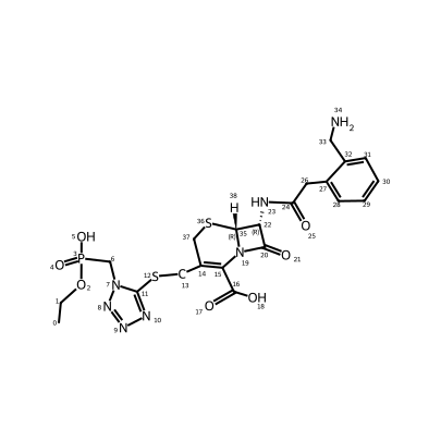 CCOP(=O)(O)Cn1nnnc1SCC1=C(C(=O)O)N2C(=O)[C@@H](NC(=O)Cc3ccccc3CN)[C@H]2SC1